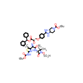 Cc1sc(NC(=O)OC(C)(C)C)nc1/C(=N/O[C@@H](COc1ccc(C(=N)NC2CCN(C(=O)OC(C)(C)C)CC2)cc1)C(=O)OC(c1ccccc1)c1ccccc1)C(=O)N[C@@H]1C(=O)N(OS(=O)(=O)O)C1(C)C